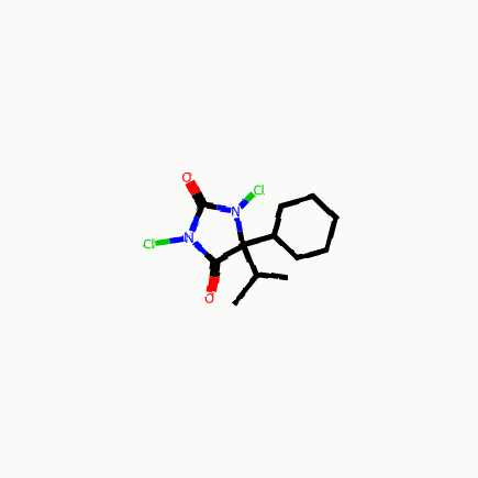 CC(C)C1(C2CCCCC2)C(=O)N(Cl)C(=O)N1Cl